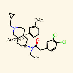 CC(=O)Oc1cccc([C@@]23CCN(CC4CC4)C[C@@]2(OC(C)=O)CC[C@H](N(CC(C)C)C(=O)Cc2ccc(Cl)c(Cl)c2)C3)c1